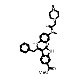 COC(=O)c1ccc2c(c1)NC(=O)/C2=C(/Cc1ccccc1)Nc1ccc(N(C)C(=O)CN2CCN(C)CC2)cc1